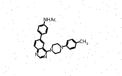 CC(=O)Nc1ccc(-c2ccc3ncnc(N4CCN(c5ccc(C)cc5)CC4)c3c2)cc1